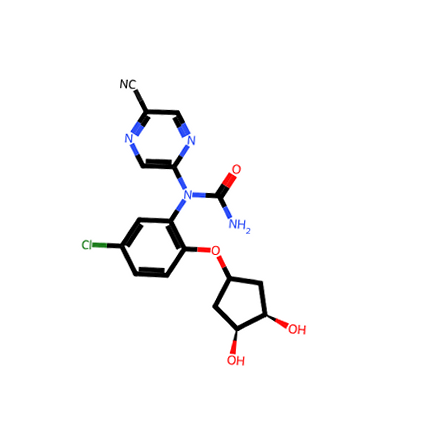 N#Cc1cnc(N(C(N)=O)c2cc(Cl)ccc2OC2C[C@@H](O)[C@@H](O)C2)cn1